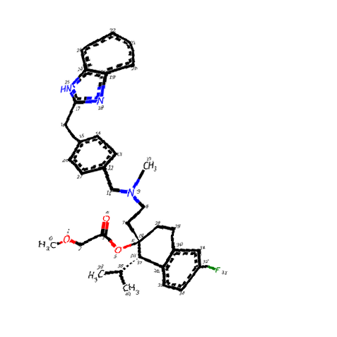 COCC(=O)O[C@]1(CCN(C)Cc2ccc(Cc3nc4ccccc4[nH]3)cc2)CCc2cc(F)ccc2[C@@H]1C(C)C